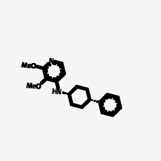 COc1nccc(N[C@H]2CC[C@@H](c3ccccc3)CC2)c1OC